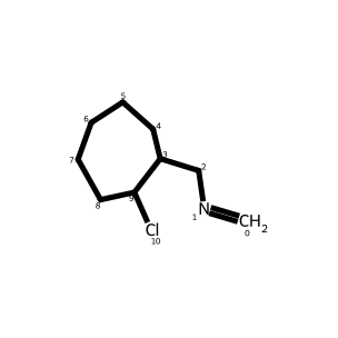 C=NCC1CCCCCC1Cl